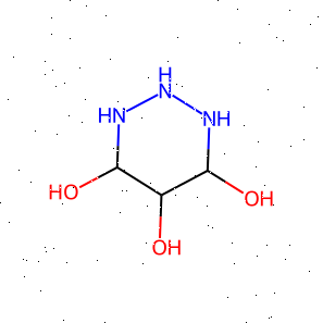 OC1NNNC(O)C1O